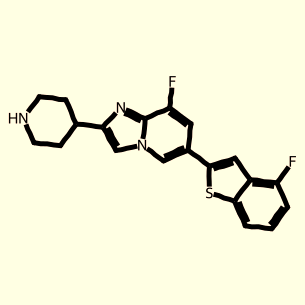 Fc1cccc2sc(-c3cc(F)c4nc(C5CCNCC5)cn4c3)cc12